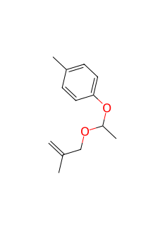 C=C(C)COC(C)Oc1ccc(C)cc1